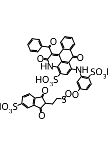 O=C(c1ccccc1)c1c2c3c(c(Nc4cc(OOSCCC5C(=O)c6ccc(S(=O)(=O)O)cc6C5=O)ccc4S(=O)(=O)O)cc(S(=O)(=O)O)c3[nH]c1=O)C(=O)c1ccccc1-2